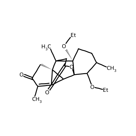 CCOC1C(C)CC[C@@]2(OCC)C13OC(=O)CC2(C)[C@]12CC(=O)C(C)=C1C32